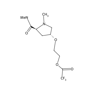 CNC(=O)[C@@H]1C[C@@H](OCCOC(=O)C(F)(F)F)CN1C